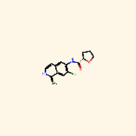 C=C1NC=Cc2cc(NC(=O)[C@@H]3CCCO3)c(Cl)cc21